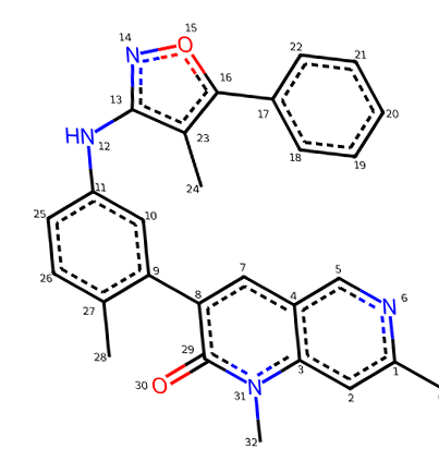 Cc1cc2c(cn1)cc(-c1cc(Nc3noc(-c4ccccc4)c3C)ccc1C)c(=O)n2C